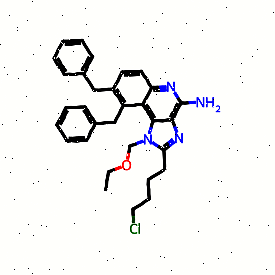 CCOCn1c(CCCCCl)nc2c(N)nc3ccc(Cc4ccccc4)c(Cc4ccccc4)c3c21